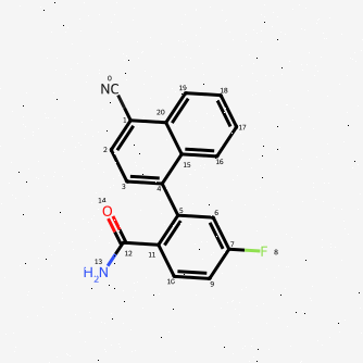 N#Cc1ccc(-c2cc(F)ccc2C(N)=O)c2ccccc12